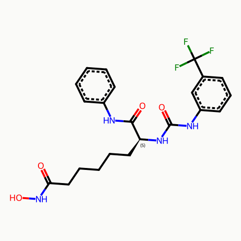 O=C(CCCCC[C@H](NC(=O)Nc1cccc(C(F)(F)F)c1)C(=O)Nc1ccccc1)NO